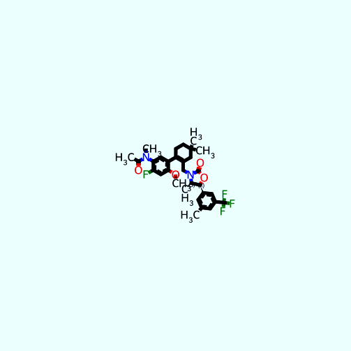 COc1cc(F)c(N(C)C(C)=O)cc1C1=C(CN2C(=O)O[C@H](c3cc(C)cc(C(F)(F)F)c3)[C@@H]2C)CC(C)(C)CC1